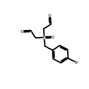 O=CCP(=O)(CC=O)Cc1ccc(Br)cc1